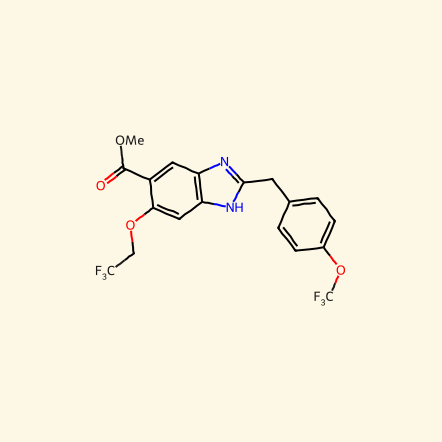 COC(=O)c1cc2nc(Cc3ccc(OC(F)(F)F)cc3)[nH]c2cc1OCC(F)(F)F